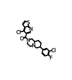 O=C(c1cnc2sccc2c1Cl)N1CCN2CC(c3ccc(F)c(Cl)c3)CCC2C1